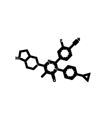 Cc1c(N2CCC3NCCC3C2)nc(-c2ccc(C#N)c(F)c2)n(-c2ccc(C3CC3)cc2)c1=O